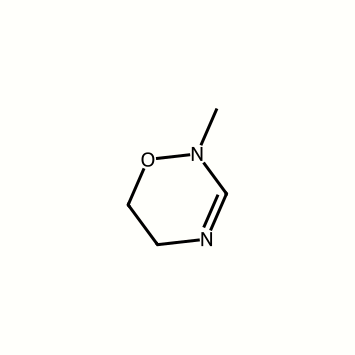 CN1C=NCCO1